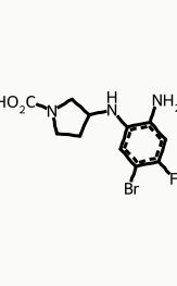 Nc1cc(F)c(Br)cc1NC1CCN(C(=O)O)C1